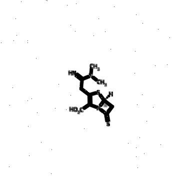 CN(C)C(=N)CC1=C(C(=O)O)N2C(=S)C[C@@H]2S1